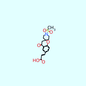 CS(=O)(=O)N1CCC2(CC1)CC(=O)c1cc(C=CC(=O)O)ccc1O2